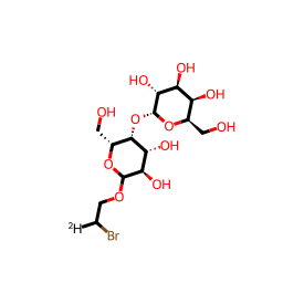 [2H]C(Br)COC1O[C@H](CO)[C@H](O[C@H]2O[C@H](CO)[C@H](O)[C@H](O)[C@H]2O)[C@H](O)[C@H]1O